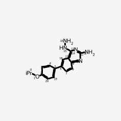 CC(C)Oc1ccc(-c2ccc3nc(N)nc(NN)c3c2)cc1